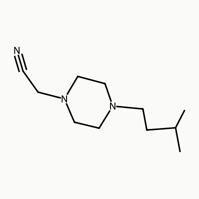 CC(C)CCN1CCN(CC#N)CC1